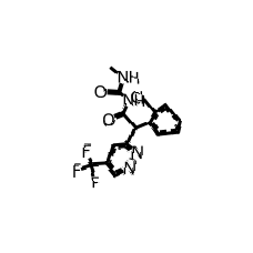 CNC(=O)NC(=O)C(c1cc(C(F)(F)F)cnn1)c1ccccc1Cl